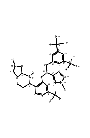 CCC(c1ccc(C(F)(F)F)cc1CN(Cc1cc(C(F)(F)F)cc(C(F)(F)F)c1)c1nnn(C)n1)N(C)C1CCN(C)C1